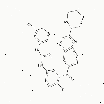 O=C(Nc1cncc(Cl)c1)Nc1ccc(F)c(C(=O)c2ccc3nc(C4COCCN4)cnc3c2)c1